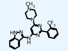 CN1CCN(c2cc(Nc3n[nH]c4ccccc34)nc(-c3ccccc3C(F)(F)F)n2)CC1